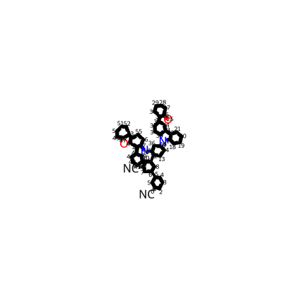 N#Cc1cccc(-c2cc(C#N)cc(-c3ccc(-n4c5ccccc5c5c6oc7ccccc7c6ccc54)cc3-n3c4ccccc4c4c5oc6ccccc6c5ccc43)c2)c1